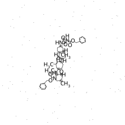 CC1=C2C[C@H]3[C@@H](CC[C@@H]4C[C@H](NS(=O)(=O)NC(=O)OCc5ccccc5)CC[C@@]43C)[C@@H]2CC[C@@]2(C1)O[C@@H]1C[C@H](C)CN(C(=O)OCc3ccccc3)[C@H]1[C@H]2C